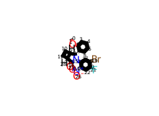 COc1ccccc1[C@H]1[C@H]2C=C[C@H]2C(=O)N1c1cc(Br)c(F)cc1[N+](=O)[O-]